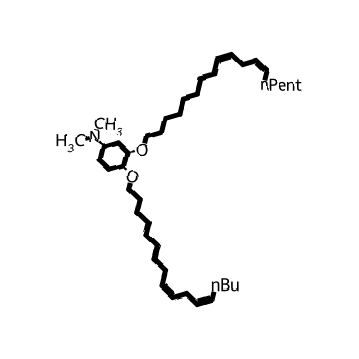 CCCC/C=C\C/C=C\CCCCCCCCO[C@@H]1CC[C@@H](N(C)C)C[C@@H]1OCCCCCCCC/C=C\C/C=C\CCCCC